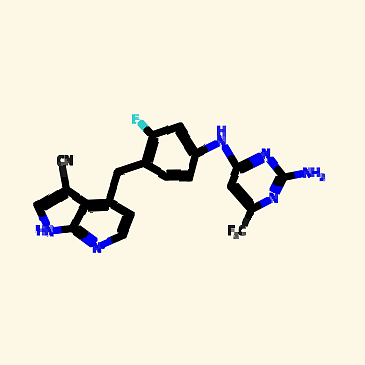 N#Cc1c[nH]c2nccc(Cc3ccc(Nc4cc(C(F)(F)F)nc(N)n4)cc3F)c12